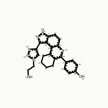 OCCn1cc(-c2n[nH]c3ccc4nc(-c5ccc(O)cc5)c5c(c4c23)CCCC5)nn1